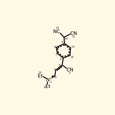 CC[N+](=C/C=C(\C#N)c1ccc(C(C#N)C#N)cc1)CC